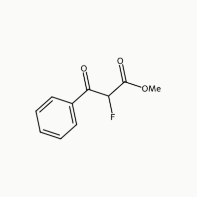 COC(=O)C(F)C(=O)c1ccccc1